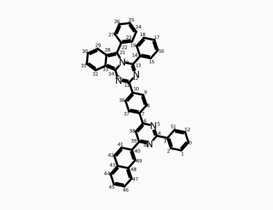 c1ccc(-c2nc(-c3ccc(-c4nc(-c5ccccc5)n5c(-c6ccccc6)c6ccccc6c5n4)cc3)cc(-c3ccc4ccccc4c3)n2)cc1